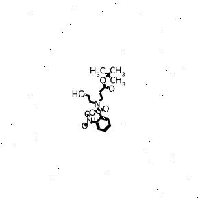 CC(C)(C)OC(=O)CCN(CCO)S(=O)(=O)c1ccccc1[N+](=O)[O-]